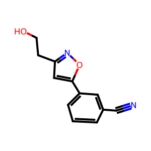 N#Cc1cccc(-c2cc(CCO)no2)c1